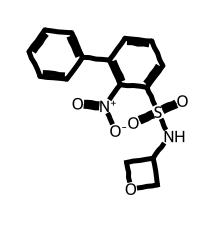 O=[N+]([O-])c1c(-c2ccccc2)cccc1S(=O)(=O)NC1COC1